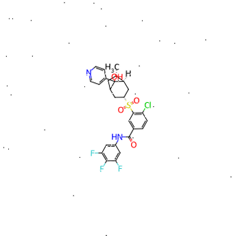 C[C@H]1CC2C[C@@H](S(=O)(=O)c3cc(C(=O)Nc4cc(F)c(F)c(F)c4)ccc3Cl)C[C@H]1[C@@]2(O)c1ccncc1